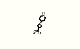 COC(=O)C1CN(C2CCNCC2)C1